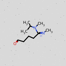 C/N=C(/CCCC=O)N(C)C(C)C